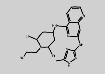 CCC1CC(Nc2nc(Nc3n[nH]c(C)n3)cc3ncccc23)CC(CC)N1CCC#N